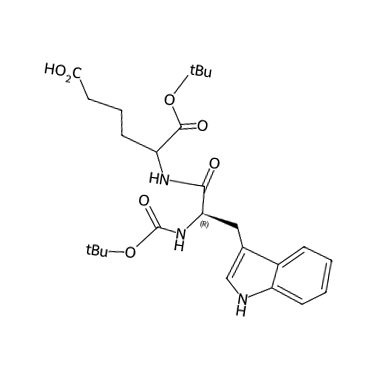 CC(C)(C)OC(=O)N[C@H](Cc1c[nH]c2ccccc12)C(=O)NC(CCCC(=O)O)C(=O)OC(C)(C)C